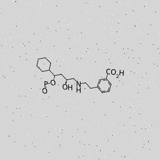 O=POC(C[C@H](O)CNCCc1cccc(C(=O)O)c1)C1CCCCC1